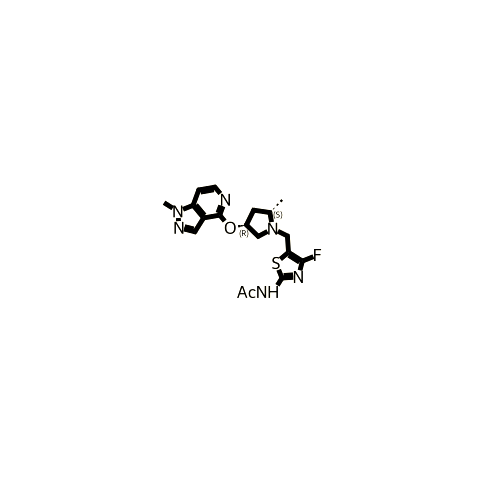 CC(=O)Nc1nc(F)c(CN2C[C@H](Oc3nccc4c3cnn4C)C[C@@H]2C)s1